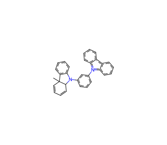 CC12C=CC=CC1N(c1cccc(-n3c4ccccc4c4ccccc43)c1)c1ccccc12